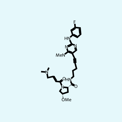 CNc1nc(Nc2cccc(F)c2)ncc1C#CCCCNC(=O)[C@@H]1C[C@H](OC)CN1C(=O)C=CCN(C)C